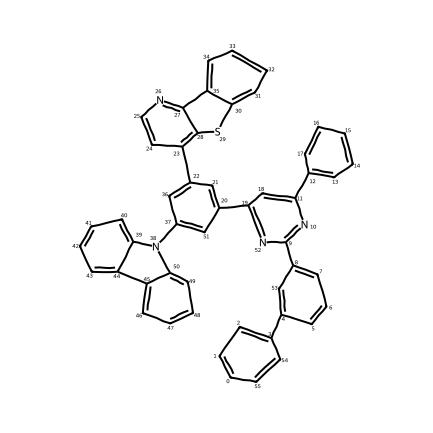 c1ccc(-c2cccc(-c3nc(-c4ccccc4)cc(-c4cc(-c5ccnc6c5sc5ccccc56)cc(-n5c6ccccc6c6ccccc65)c4)n3)c2)cc1